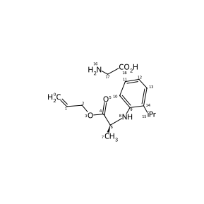 C=CCOC(=O)[C@H](C)Nc1ccccc1C(C)C.NCC(=O)O